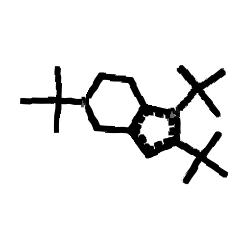 CC(C)(C)c1cc2c(n1C(C)(C)C)CCN(C(C)(C)C)C2